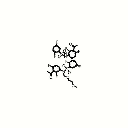 CC(=O)c1c(F)ccc(NS(=O)(=O)c2cc(F)ccc2F)c1F.COCCOCN(c1ccc(F)c(C(C)=O)c1F)S(=O)(=O)c1cc(F)ccc1F